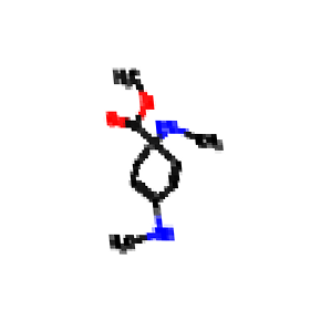 CNC1=CCC(NC)(C(=O)OC)C=C1